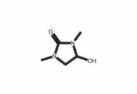 CN1CC(O)N(C)C1=O